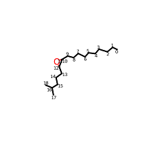 CCCCCCCCCCC1OC1CCCC(C)C